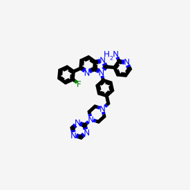 Nc1ncccc1-c1nc2ccc(-c3ccccc3F)nc2n1-c1ccc(CN2CCN(c3ncncn3)CC2)cc1